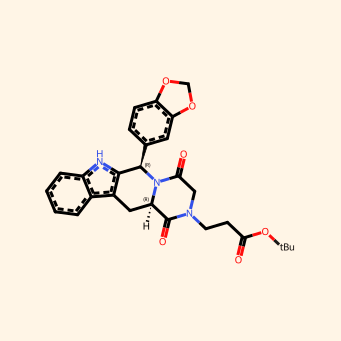 CC(C)(C)OC(=O)CCN1CC(=O)N2[C@H](c3ccc4c(c3)OCO4)c3[nH]c4ccccc4c3C[C@@H]2C1=O